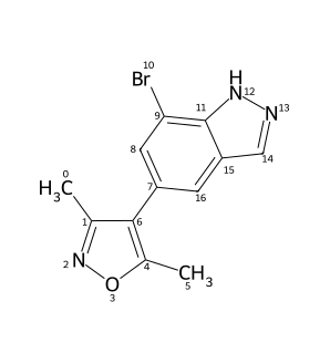 Cc1noc(C)c1-c1cc(Br)c2[nH]ncc2c1